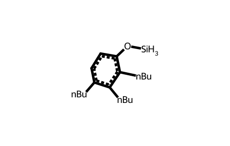 CCCCc1ccc(O[SiH3])c(CCCC)c1CCCC